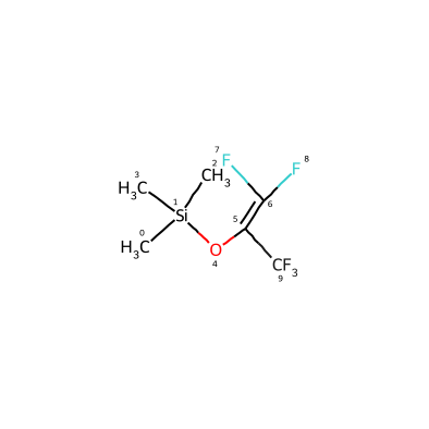 C[Si](C)(C)OC(=C(F)F)C(F)(F)F